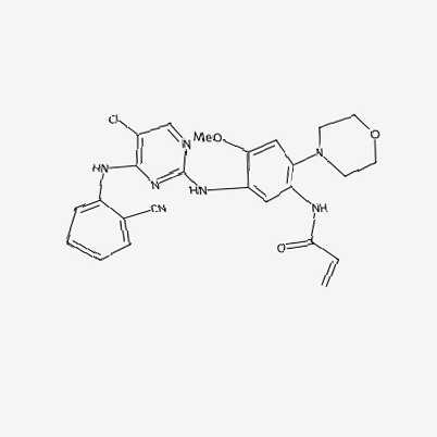 C=CC(=O)Nc1cc(Nc2ncc(Cl)c(Nc3ccccc3C#N)n2)c(OC)cc1N1CCOCC1